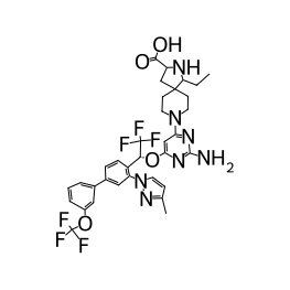 CCC1NC(C(=O)O)CC12CCN(c1cc(O[C@H](c3ccc(-c4cccc(OC(F)(F)F)c4)cc3-n3ccc(C)n3)C(F)(F)F)nc(N)n1)CC2